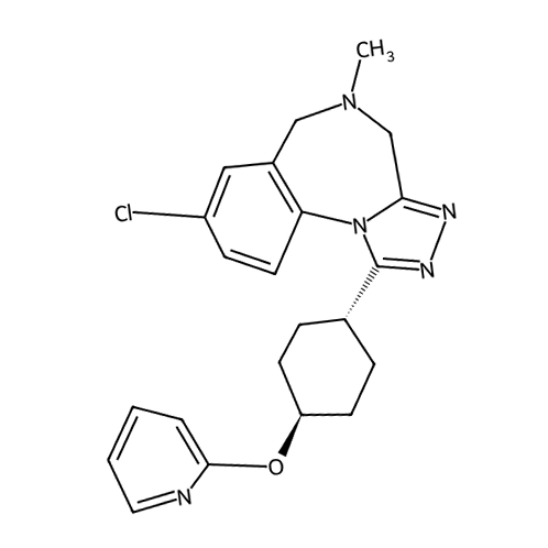 CN1Cc2cc(Cl)ccc2-n2c(nnc2[C@H]2CC[C@H](Oc3ccccn3)CC2)C1